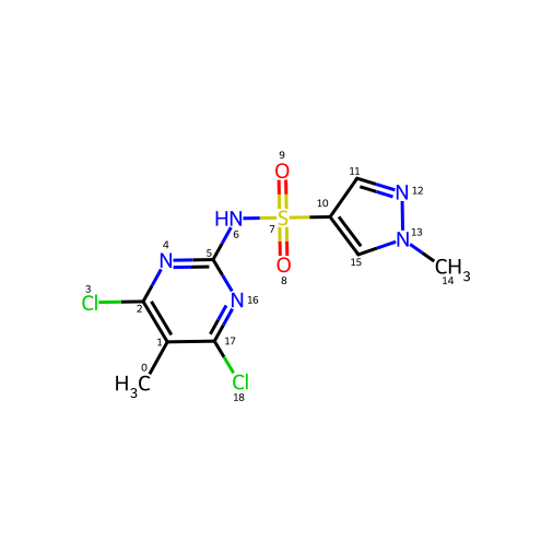 Cc1c(Cl)nc(NS(=O)(=O)c2cnn(C)c2)nc1Cl